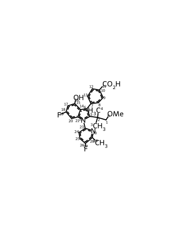 COCC(C)(C)c1c(-c2ccc(C(=O)O)cc2)c2c(O)cc(F)cc2n1-c1ccc(F)c(C)n1